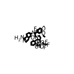 CCOc1cc([C@@H](Nc2ccc3c(N)nccc3c2)C(=O)N2CCC(C(=O)OC(=O)C(F)(F)F)C2c2ccccc2S(=O)(=O)CC)c(F)cc1OC